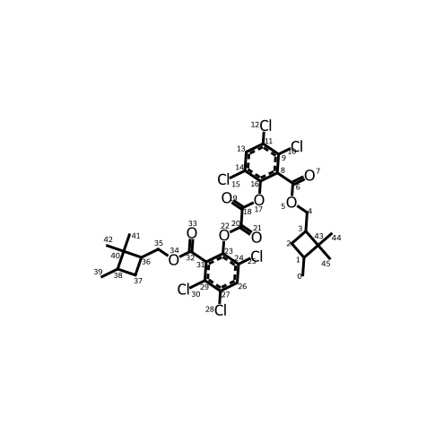 CC1CC(COC(=O)c2c(Cl)c(Cl)cc(Cl)c2OC(=O)C(=O)Oc2c(Cl)cc(Cl)c(Cl)c2C(=O)OCC2CC(C)C2(C)C)C1(C)C